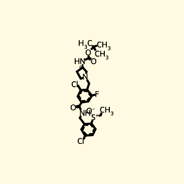 CC[S+]([O-])c1ccc(Cl)cc1CNC(=O)c1cc(F)c(CN2CC[C@@H](NC(=O)OC(C)(C)C)C2)c(Cl)c1